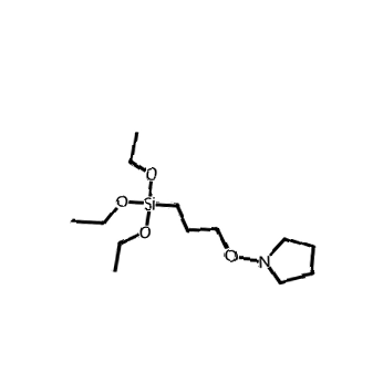 CCO[Si](CCCON1CCCC1)(OCC)OCC